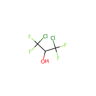 O[C](C(F)(F)Cl)C(F)(F)Cl